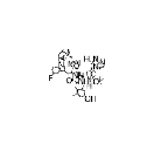 Cc1cc(O)cc(C)c1C[C@H](NC(=O)[C@@H](CCCn1ccnc1N)NC(=O)OC(C)(C)C)C(=O)N[C@@H](Cc1c[nH]c2ccc(F)cc12)c1nc(CC23CC4CC(CC(C4)C2)C3)no1